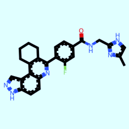 Cc1c[nH]c(CNC(=O)c2ccc(-c3nc4ccc5[nH]ncc5c4c4c3CCCC4)c(F)c2)n1